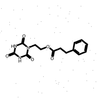 O=C(CCc1ccccc1)OCCn1c(=O)[nH]c(=O)[nH]c1=O